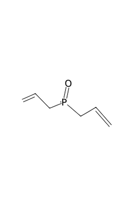 C=CC[P](=O)CC=C